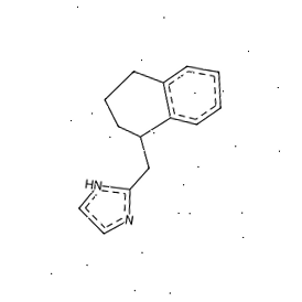 c1ccc2c(c1)CCCC2Cc1ncc[nH]1